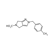 Cc1ccc(Cn2cc3c(n2)CN(C(=O)O)C3)cc1